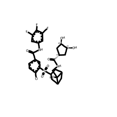 O=C(Nc1cc(F)c(F)c(F)c1)c1ccc(Cl)c(S(=O)(=O)C2CC3CC(C2)C3(O)CNC(=O)[C@@H]2C[C@@H](O)[C@@H](O)C2)c1